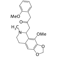 COc1ccccc1CC(=O)CC1c2c(cc3c(c2OC)OCO3)CCN1C